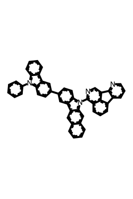 c1ccc(-n2c3ccccc3c3cc(-c4ccc5c(c4)c4cc6ccccc6cc4n5-c4ncc5c6c(cccc46)-c4cccnc4-5)ccc32)cc1